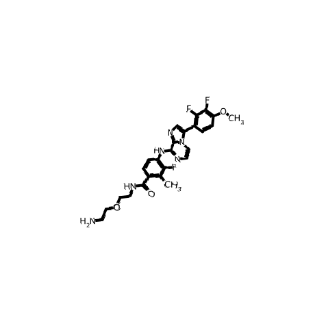 COc1ccc(-c2cnc3c(Nc4ccc(C(=O)NCCOCCN)c(C)c4F)nccn23)c(F)c1F